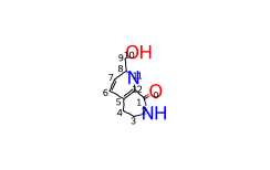 O=C1NCCc2ccc(CO)nc21